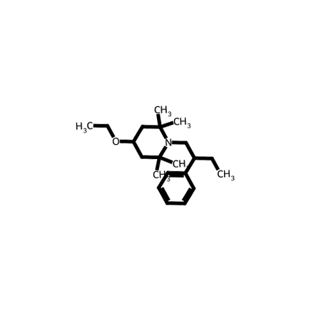 CCOC1CC(C)(C)N(CC(CC)c2ccccc2)C(C)(C)C1